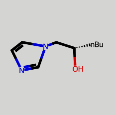 CCCC[C@H](O)Cn1ccnc1